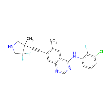 CC1(C#Cc2cc3ncnc(Nc4cccc(Cl)c4F)c3cc2[N+](=O)[O-])CNCC1(F)F